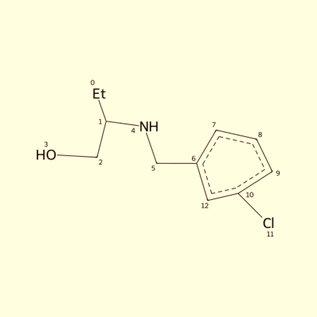 CCC(CO)NCc1cccc(Cl)c1